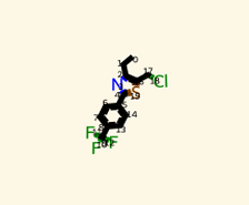 CCc1nc(-c2ccc(C(F)(F)F)cc2)sc1CCl